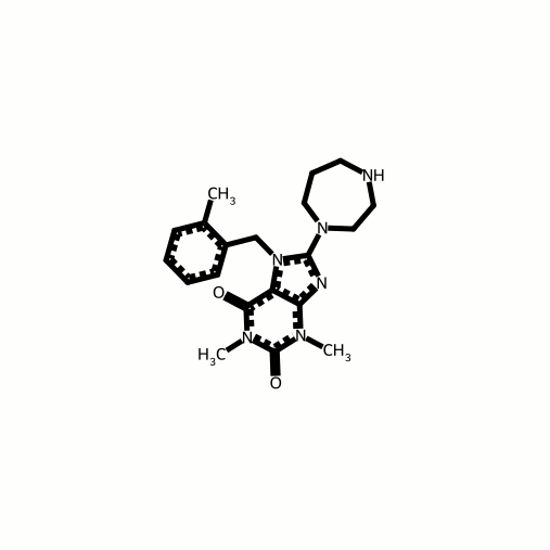 Cc1ccccc1Cn1c(N2CCCNCC2)nc2c1c(=O)n(C)c(=O)n2C